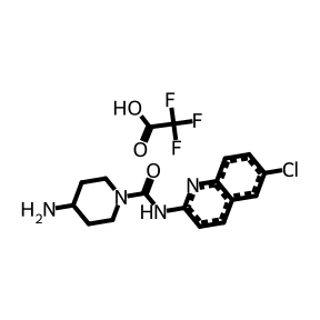 NC1CCN(C(=O)Nc2ccc3cc(Cl)ccc3n2)CC1.O=C(O)C(F)(F)F